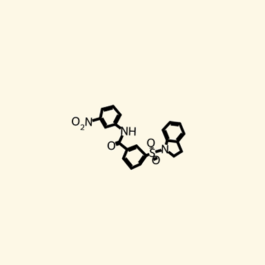 O=C(Nc1cccc([N+](=O)[O-])c1)c1cccc(S(=O)(=O)N2CCc3ccccc32)c1